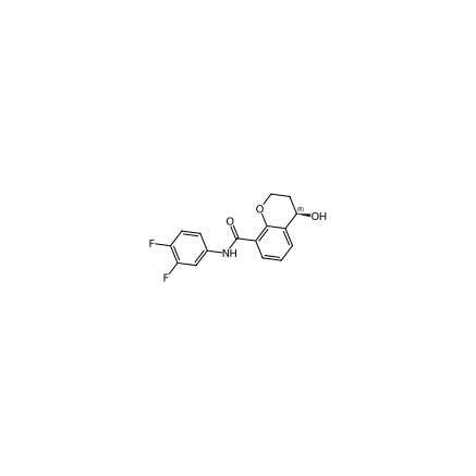 O=C(Nc1ccc(F)c(F)c1)c1cccc2c1OCC[C@H]2O